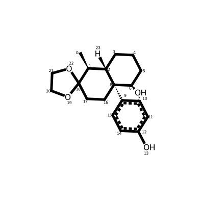 C[C@H]1[C@@H]2CCC[C@H](O)[C@@]2(c2ccc(O)cc2)CCC12OCCO2